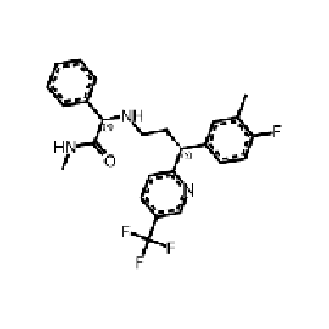 CNC(=O)[C@H](NCC[C@@H](c1ccc(F)c(C)c1)c1ccc(C(F)(F)F)cn1)c1ccccc1